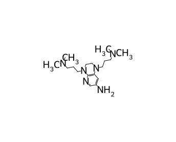 CN(C)CCCN1CCN(CCCN(C)C)c2ncc(N)cc21